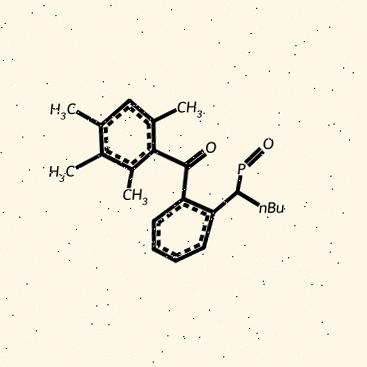 CCCCC(P=O)c1ccccc1C(=O)c1c(C)cc(C)c(C)c1C